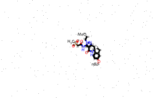 CCCCOc1ccc2c(c1)CC[C@]21Cc2nn(CCOC)c(NC(=O)CS(C)(=O)=O)c2C(=O)N1